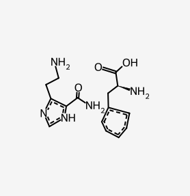 NCCc1nc[nH]c1C(N)=O.N[C@@H](Cc1ccccc1)C(=O)O